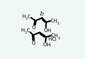 CC(=O)/C=C(/C)O.CC(=O)/C=C(/C)O.Cl.[Zr]